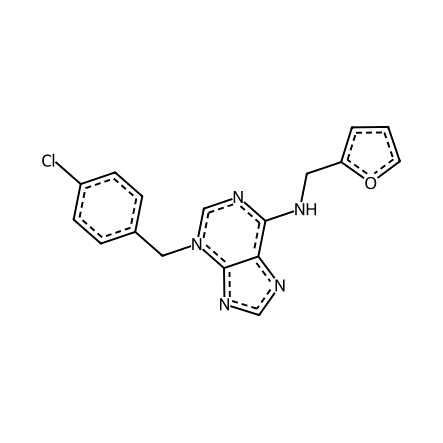 Clc1ccc(Cn2cnc(NCc3ccco3)c3ncnc2-3)cc1